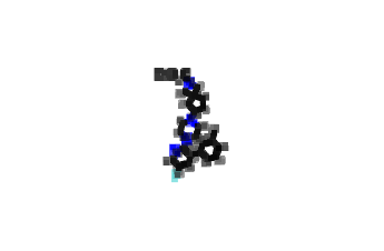 CCOC(=O)N1CC2(CC[C@@H](N3CCN(c4ncc(F)cc4-c4cccc(C)c4)CC3)C2)C1